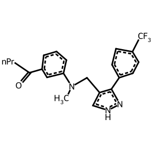 CCCC(=O)c1cccc(N(C)Cc2c[nH]nc2-c2ccc(C(F)(F)F)cc2)c1